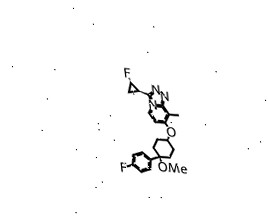 CO[C@]1(c2ccc(F)cc2)CC[C@H](Oc2ccn3c([C@H]4C[C@@H]4F)nnc3c2C)CC1